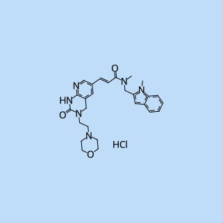 CN(Cc1cc2ccccc2n1C)C(=O)C=Cc1cnc2c(c1)CN(CCN1CCOCC1)C(=O)N2.Cl